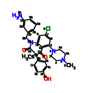 CN1CCN(c2cc(Cl)cc3c2C(=O)C(C)(c2ccc(O)cc2)C(=O)N3Cc2cccc(N)c2)CC1